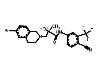 C[C@](O)(CN1CCc2cc(Br)ccc2C1)C(=O)Nc1ccc(C#N)c(C(F)(F)F)c1